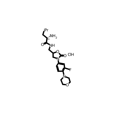 CC(C)C[C@H](N)C(=O)NCC1CN(c2ccc(N3CCOCC3)c(F)c2)C(=O)O1.Cl